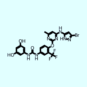 Cc1cc(Nc2cc(Br)n[nH]2)nc(Oc2ccc(NC(=O)Nc3cc(O)cc(O)c3)cc2C(F)(F)F)n1